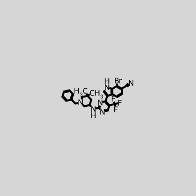 CC1(C)CC(Nc2ncc(C(F)(F)F)c(-c3c[nH]c4c(Br)c(C#N)ccc34)n2)CN(Cc2ccccc2)C1